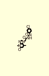 Cc1cc(=O)n(C)c2ncn(CC(=O)Nc3nc4ccc(Cl)cc4o3)c12